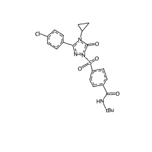 CC(C)(C)NC(=O)c1ccc(S(=O)(=O)n2nc(-c3ccc(Cl)cc3)n(C3CC3)c2=O)cc1